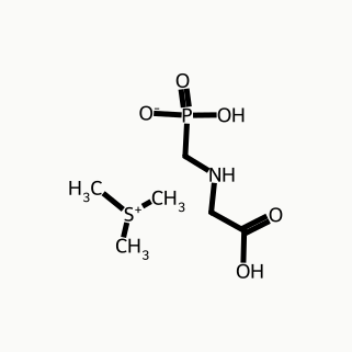 C[S+](C)C.O=C(O)CNCP(=O)([O-])O